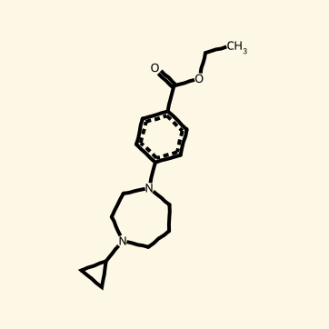 CCOC(=O)c1ccc(N2CCCN(C3CC3)CC2)cc1